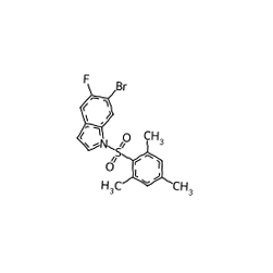 Cc1cc(C)c(S(=O)(=O)n2ccc3cc(F)c(Br)cc32)c(C)c1